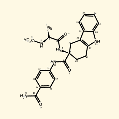 CC[C@H](C)[C@H](NC(=O)O)C(=O)N[C@]1(C(=O)Nc2ccc(C(N)=O)cc2)CCc2[nH]c3ccccc3c2C1